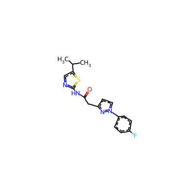 CC(C)c1cnc(NC(=O)Cc2ccn(-c3ccc(F)cc3)n2)s1